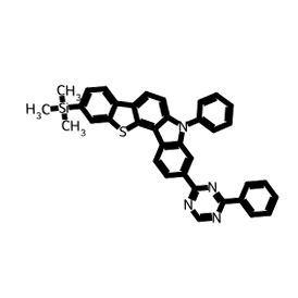 C[Si](C)(C)c1ccc2c(c1)sc1c2ccc2c1c1ccc(-c3ncnc(-c4ccccc4)n3)cc1n2-c1ccccc1